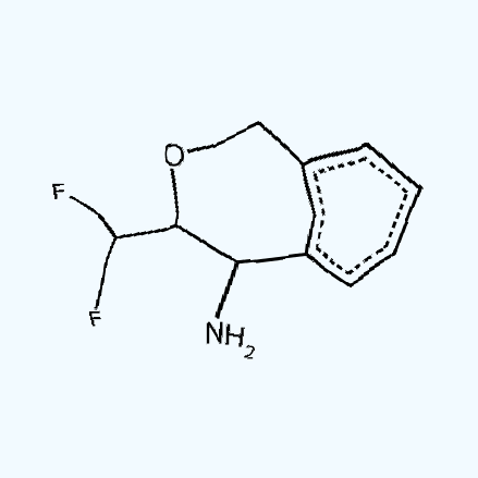 NC1c2ccccc2COC1C(F)F